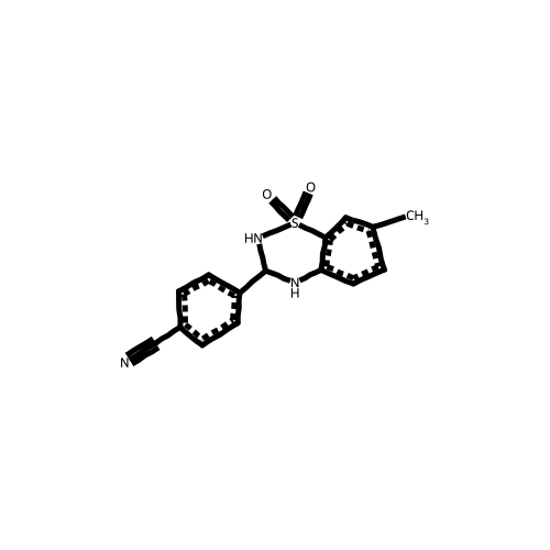 Cc1ccc2c(c1)S(=O)(=O)NC(c1ccc(C#N)cc1)N2